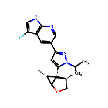 CC(C)n1nc(-c2cnc3[nH]cc(F)c3c2)cc1[C@@]12C3OC[C@H]1[C@@H]32